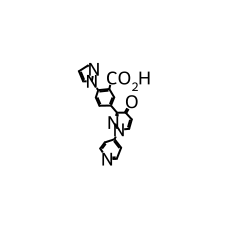 O=C(O)c1cc(-c2nn(-c3ccncc3)ccc2=O)ccc1-n1cccn1